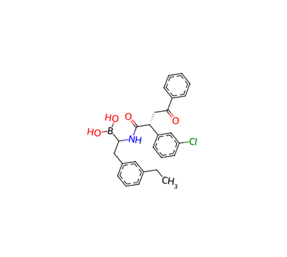 CCc1cccc(CC(NC(=O)[C@H](CC(=O)c2ccccc2)c2cccc(Cl)c2)B(O)O)c1